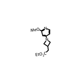 CCOC(=O)CC1CN(c2ccnc(OC)c2)C1